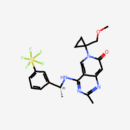 COCC1(n2cc3c(N[C@H](C)c4cccc(S(F)(F)(F)(F)F)c4)nc(C)nc3cc2=O)CC1